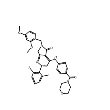 COc1ccc(CN2Cc3nc(-c4c(F)cccc4F)cc(Nc4ccc(C(=O)N5CCOCC5)cc4)c3C2=O)c(OC)c1